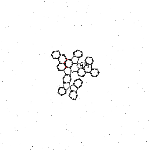 CC1(C)c2ccccc2-c2cccc(N(c3ccc4c5ccccc5c5ccccc5c4c3)c3cc4c(cc3-c3ccc5c(ccc6ccccc65)c3)-c3ccccc3C43c4ccccc4-c4ccccc43)c21